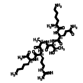 C[C@H](NC(=O)[C@@H](NC(=O)[C@H](CCC(N)=O)NC(=O)[C@@H](N)CCCCN)[C@@H](C)O)C(=O)N[C@@H](CCCNC(=N)N)C(=O)N[C@@H](CCCCN)C(N)=O